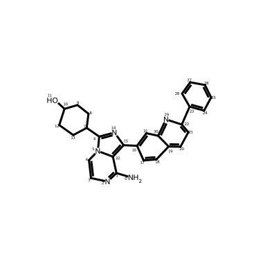 Nc1nccn2c(C3CCC(O)CC3)nc(-c3ccc4ccc(-c5ccccc5)nc4c3)c12